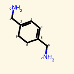 NCC1=CC=C(CN)CC1